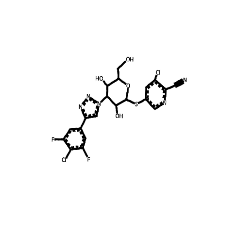 N#Cc1ncc(SC2OC(CO)C(O)C(n3cc(-c4cc(F)c(Cl)c(F)c4)nn3)C2O)cc1Cl